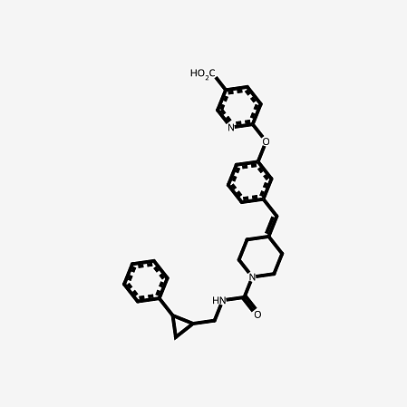 O=C(O)c1ccc(Oc2cccc(C=C3CCN(C(=O)NCC4CC4c4ccccc4)CC3)c2)nc1